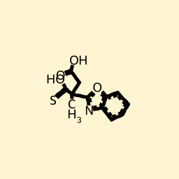 CC(CC(=O)O)(C(O)=S)c1nc2ccccc2o1